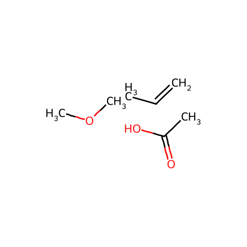 C=CC.CC(=O)O.COC